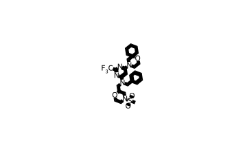 CS(=O)(=O)N1CCOC(CN(Cc2ccccc2)c2cc(N3CCOC4(CCCCC4)C3)nc(C(F)(F)F)n2)C1